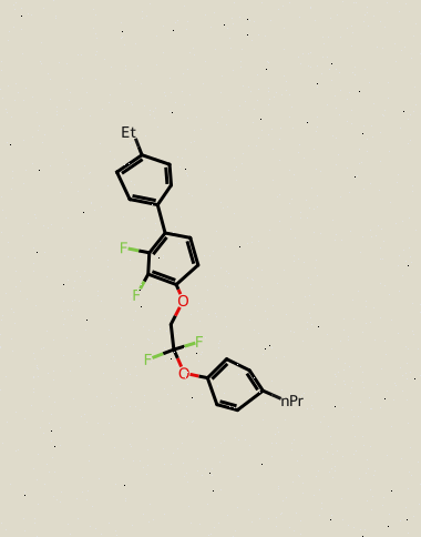 CCCc1ccc(OC(F)(F)COc2ccc(-c3ccc(CC)cc3)c(F)c2F)cc1